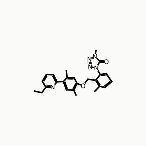 CCc1cccc(-c2cc(C)c(OCc3c(C)cccc3-n3nnn(C)c3=O)cc2C)n1